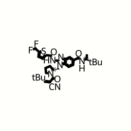 C[C@H](NC(=O)c1ccc2c(c1)nc(NC(=O)c1ccc(C(F)F)s1)n2C[C@H]1CCCN1C(=O)C(C#N)=CC(C)(C)C)C(C)(C)C